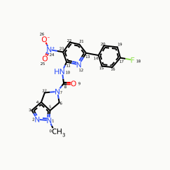 Cn1ncc2c1CN(C(=O)Nc1nc(-c3ccc(F)cc3)ccc1[N+](=O)[O-])C2